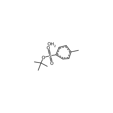 Cc1ccc(S(=O)(=O)OC(C)(C)C)cc1.O